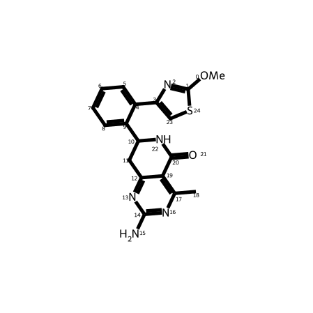 COc1nc(-c2ccccc2C2Cc3nc(N)nc(C)c3C(=O)N2)cs1